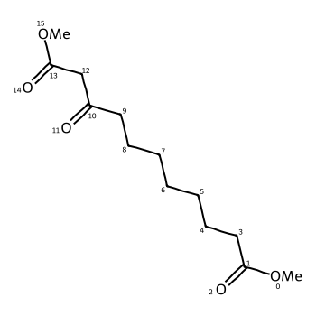 COC(=O)CCCCCCCC(=O)CC(=O)OC